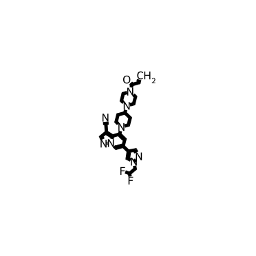 C=CC(=O)N1CCN(C2CCN(c3cc(-c4cnn(CC(F)F)c4)cn4ncc(C#N)c34)CC2)CC1